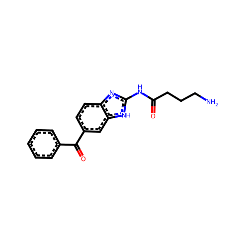 NCCCC(=O)Nc1nc2ccc(C(=O)c3ccccc3)cc2[nH]1